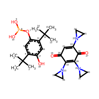 CC(C)(C)c1cc(OP(O)O)c(C(C)(C)C)cc1O.O=C1C=C(N2CC2)C(=O)C(N2CC2)=C1N1CC1